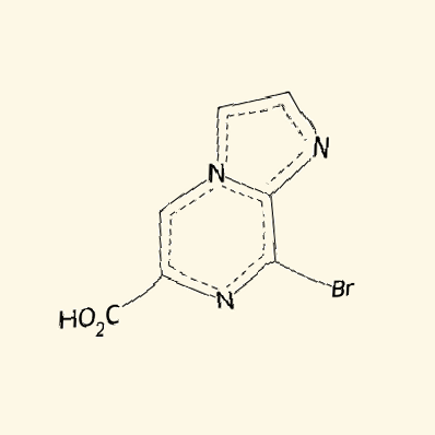 O=C(O)c1cn2ccnc2c(Br)n1